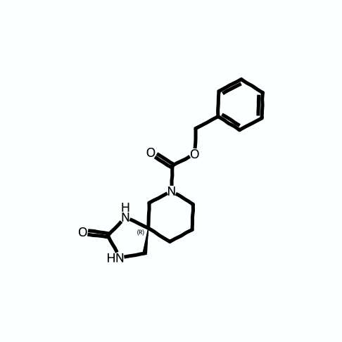 O=C1NC[C@@]2(CCCN(C(=O)OCc3ccccc3)C2)N1